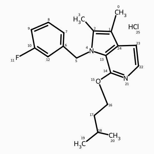 Cc1c(C)n(Cc2cccc(F)c2)c2c(OCCC(C)C)nccc12.Cl